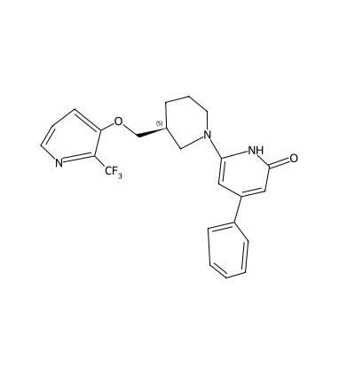 O=c1cc(-c2ccccc2)cc(N2CCC[C@H](COc3cccnc3C(F)(F)F)C2)[nH]1